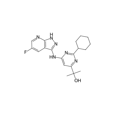 CC(C)(O)c1cc(Nc2n[nH]c3ncc(F)cc23)nc(C2CCCCC2)n1